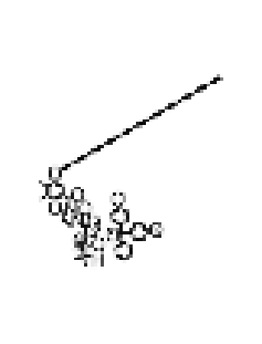 C#CC#CC#CC#CC#CC#CC#CC#CC#CC#CC#COc1cc(C(=O)n2c(=O)ccn([C@@H]3O[C@H](COC(c4ccccc4)(c4ccc(OC)cc4)c4ccc(OC)cc4)[C@H](O)C3O[Si](C)(C)C(C)(C)C)c2=O)cc(C)c1C